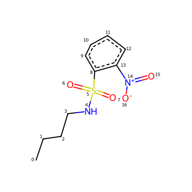 CCCCNS(=O)(=O)c1ccccc1[N+](=O)[O-]